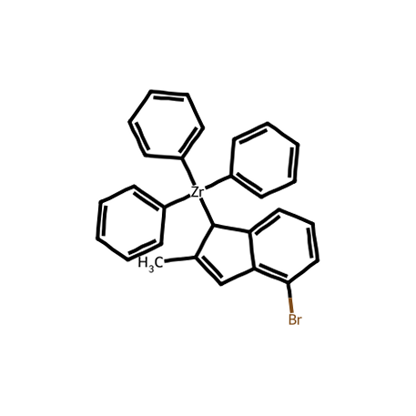 CC1=Cc2c(Br)cccc2[CH]1[Zr]([c]1ccccc1)([c]1ccccc1)[c]1ccccc1